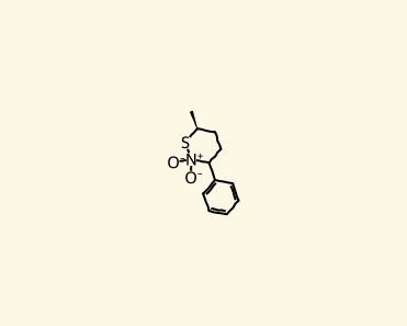 C[C@H]1CCC(c2ccccc2)[N+]([O-])([O-])S1